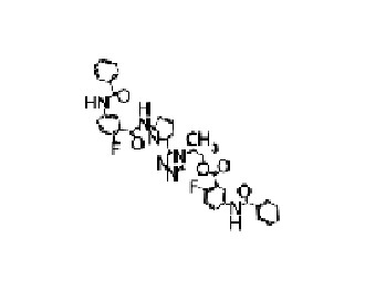 CC(COC(=O)c1cc(NC(=O)c2ccccc2)ccc1F)n1cnnc1-c1cccc(NC(=O)c2cc(NC(=O)c3ccccc3)ccc2F)n1